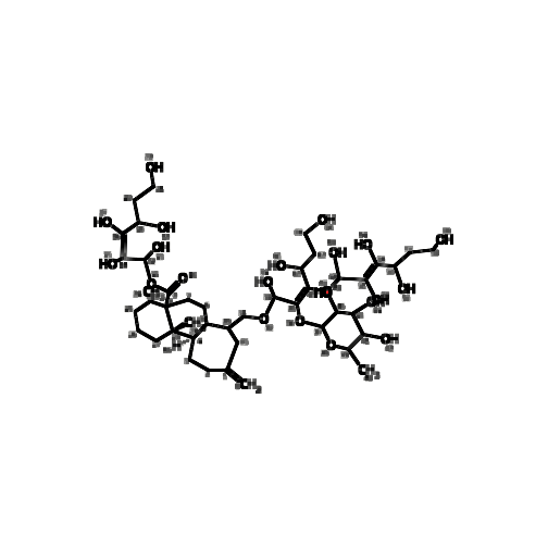 C=C1CC[C@@H]2C(CCC3(C(=O)OC(O)/C(O)=C(/O)C(O)CCO)[C@@H](C)CCC[C@@]23C)C(COC(O)/C(OC2OC(C)C(O)C(O)C2O)=C(/OC(O)/C(O)=C(\O)C(O)CCO)C(O)CCO)C1